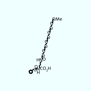 COCCOCCOCCOCCOCCOCCOCCOCCOCC(=O)NCCCCC(NC(=O)OCc1ccccc1)C(=O)O